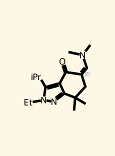 CCn1nc2c(c1C(C)C)C(=O)/C(=C\N(C)C)CC2(C)C